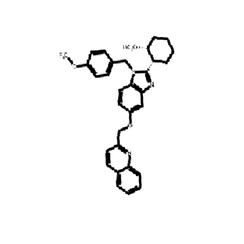 O=C(O)[C@@H]1CCCC[C@@H]1c1nc2cc(OCc3ccc4ccccc4n3)ccc2n1Cc1ccc(OC(F)(F)F)cc1